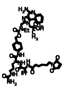 CCN(Cc1nc2c(N)nc3ccccc3c2n1CC(C)(C)O)C(=O)OCc1ccc(NC(=O)[C@H](CCCNC(N)=O)NC(=O)C(NC(=O)CCCCCN2C(=O)C=CC2=O)C(C)C)cc1